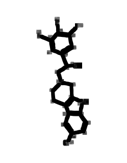 OC(CN1CCc2c([nH]c3ccc(Cl)cc23)C1)c1cc(F)c(F)c(F)c1